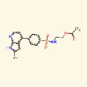 CC(C)c1cc2c(-c3ccc(S(=O)(=O)NCCOC(=O)C(F)(F)F)cc3)ccnc2[nH]1